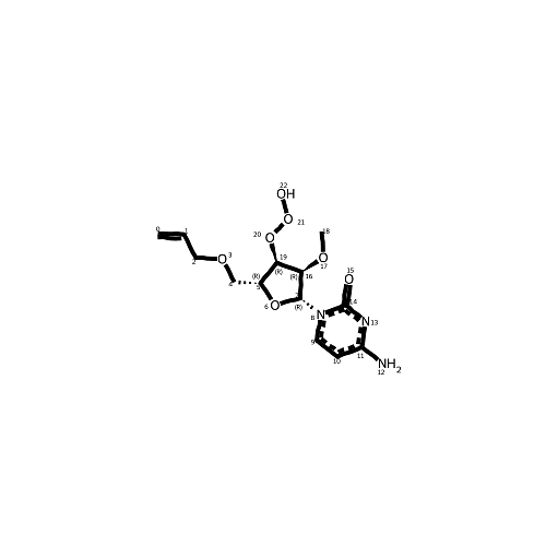 C=CCOC[C@H]1O[C@@H](n2ccc(N)nc2=O)[C@H](OC)[C@@H]1OOO